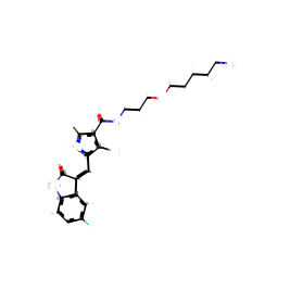 CCc1[nH]c(/C=C2\C(=O)Nc3ccc(F)cc32)c(C)c1C(=O)NCCCOCCCCCN